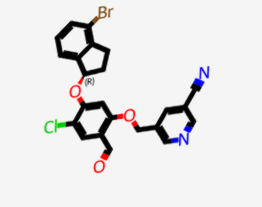 N#Cc1cncc(COc2cc(O[C@@H]3CCc4c(Br)cccc43)c(Cl)cc2C=O)c1